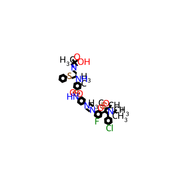 Cc1cc(S(=O)(=O)Nc2ccc(N3CCN(c4cc(F)cc(-c5c(S(C)(=O)=O)c(C)n(C(C)C)c5-c5ccc(Cl)cc5)c4)CC3)cc2)ccc1N[C@H](CCN1CC(C)(C(=O)O)C1)CSc1ccccc1